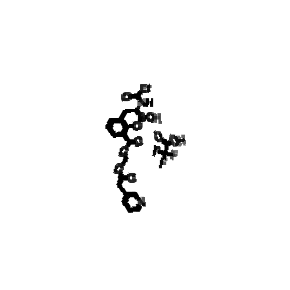 CCC(=O)N[C@H]1Cc2cccc(C(=O)OCOC(=O)Cc3cccnc3)c2OB1O.O=C(O)C(F)(F)F